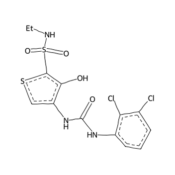 CCNS(=O)(=O)c1scc(NC(=O)Nc2cccc(Cl)c2Cl)c1O